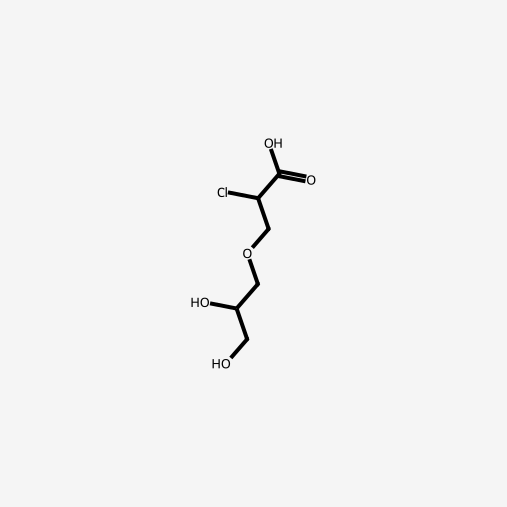 O=C(O)C(Cl)COCC(O)CO